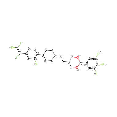 FC(F)=C(F)c1ccc(C2CCC(CCC3COC(c4cc(F)c(F)c(F)c4)OC3)CC2)c(F)c1